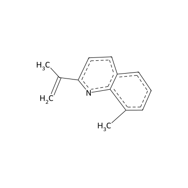 C=C(C)c1ccc2cccc(C)c2n1